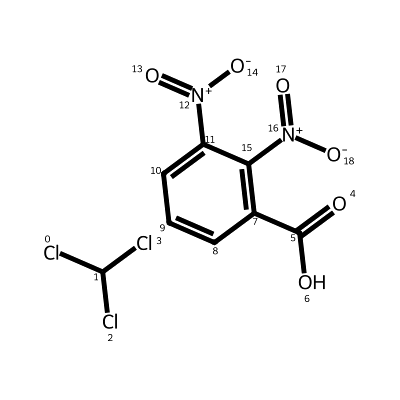 ClC(Cl)Cl.O=C(O)c1cccc([N+](=O)[O-])c1[N+](=O)[O-]